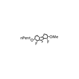 CCCCCOc1ccc2c(sc3c(F)c(OC)ccc32)c1F